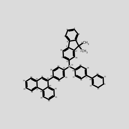 CC1(C)c2ccccc2-c2ccc(N(c3ccc(C4=CCCC=C4)cc3)c3ccc(-c4cc5ccccc5c5ccccc45)cc3)cc21